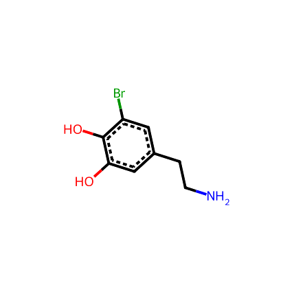 NCCc1cc(O)c(O)c(Br)c1